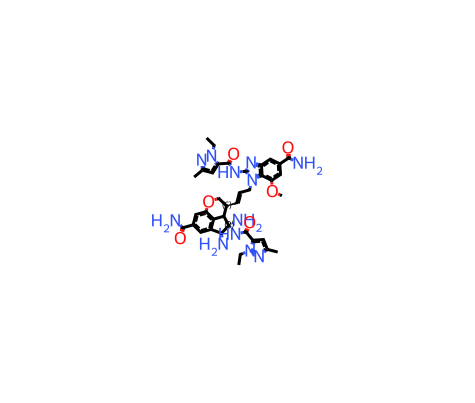 CCn1nc(C)cc1C(=O)Nc1nc2cc(C(N)=O)cc(OC)c2n1CC=C[C@@H]1COc2cc(C(N)=O)cc3c2C1[C@@](N)(NC(=O)c1cc(C)nn1CC)C3N